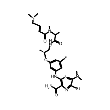 CCc1nc(C(N)=O)c(Nc2cc(F)cc(O[C@@H](C)CNC(=O)C(C)N(C)C(=O)/C=C/CN(C)C)c2)nc1N(C)C